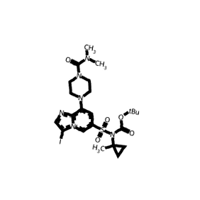 CN(C)C(=O)N1CCN(c2cc(S(=O)(=O)N(C(=O)OC(C)(C)C)C3(C)CC3)cn3c(I)cnc23)CC1